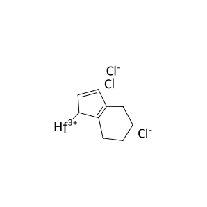 [Cl-].[Cl-].[Cl-].[Hf+3][CH]1C=CC2=C1CCCC2